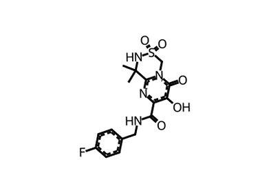 CC1(C)NS(=O)(=O)Cn2c1nc(C(=O)NCc1ccc(F)cc1)c(O)c2=O